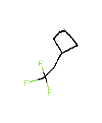 FC(F)(F)CC1C[CH]C1